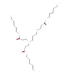 CCCCCCCCCCCCCCCOC(=O)CCNCCCN(CCC(=O)OCCCCCCCCCCCCCCC)CCC(=O)OCCCCCCCCCCCCCCC